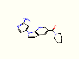 Nc1cc(-n2ccc3cc(C(=O)N4CCCCC4)cnc32)ccn1